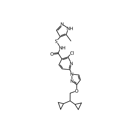 Cc1[nH]ncc1SNC(=O)c1ccc(-n2ccc(OCC(C3CC3)C3CC3)n2)nc1Cl